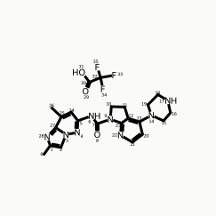 Cc1cn2nc(NC(=O)N3CCc4c(N5CCNCC5)ccnc43)cc(C)c2n1.O=C(O)C(F)(F)F